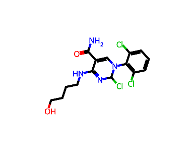 NC(=O)C1=CN(c2c(Cl)cccc2Cl)C(Cl)N=C1NCCCCO